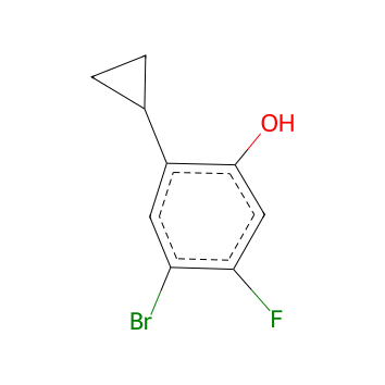 Oc1cc(F)c(Br)cc1C1CC1